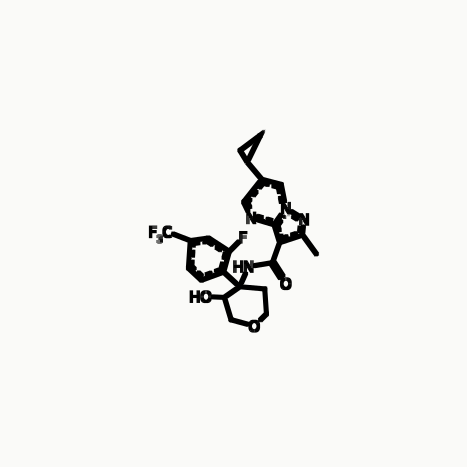 Cc1nn2cc(C3CC3)cnc2c1C(=O)NC1(c2ccc(C(F)(F)F)cc2F)CCOCC1O